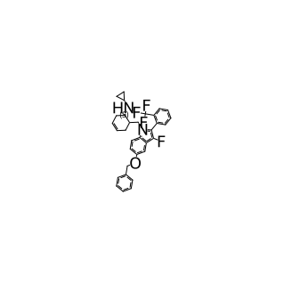 Fc1c(-c2ccccc2C(F)(F)F)n(CC2CC=CC[C@@H]2NC2CC2)c2ccc(OCc3ccccc3)cc12